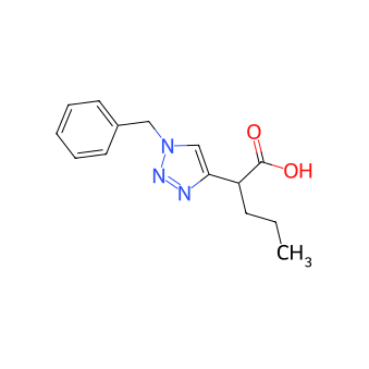 CCCC(C(=O)O)c1cn(Cc2ccccc2)nn1